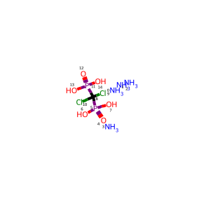 N.N.N.N.O=P(O)(O)C(Cl)(Cl)P(=O)(O)O